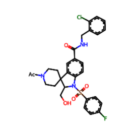 CC(=O)N1CCC2(CC1)c1cc(C(=O)NCc3ccccc3Cl)ccc1N(S(=O)(=O)c1ccc(F)cc1)C2CO